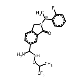 CC(ONC(N)c1ccc2c(c1)C(=O)N([C@@H](C)c1ccccc1F)C2)C(F)(F)F